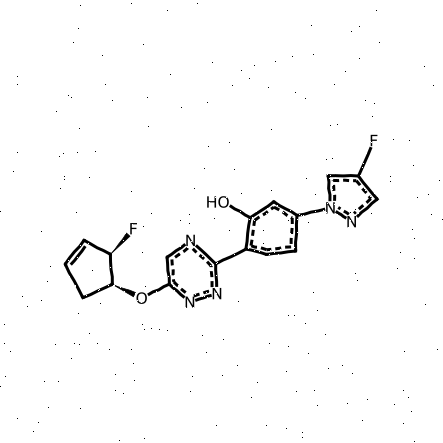 Oc1cc(-n2cc(F)cn2)ccc1-c1ncc(O[C@H]2CC=C[C@H]2F)nn1